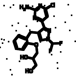 Nc1nc(Cl)cc(-c2nn(C(F)F)cc2Cc2ccccc2OCC(O)CO)n1